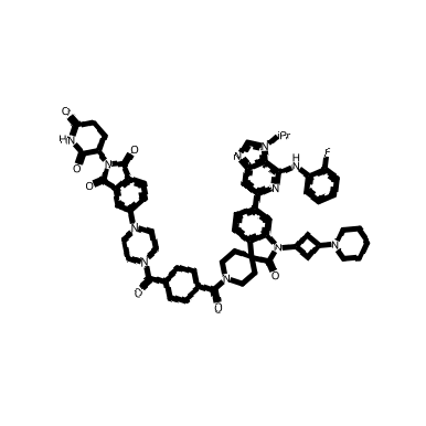 CC(C)n1cnc2cc(-c3ccc4c(c3)N(C3CC(N5CCCCC5)C3)C(=O)C43CCN(C(=O)C4CCC(C(=O)N5CCN(c6ccc7c(c6)C(=O)N(C6CCC(=O)NC6=O)C7=O)CC5)CC4)CC3)nc(Nc3ccccc3F)c21